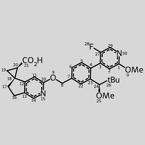 COc1cc(-c2ccc(COc3cc4c(cn3)CC[C@]43C[C@H]3C(=O)O)cc2[C@H](OC)C(C)(C)C)c(F)cn1